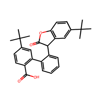 CC(C)(C)c1ccc(C(=O)O)c(-c2ccccc2C2C(=O)Oc3ccc(C(C)(C)C)cc32)c1